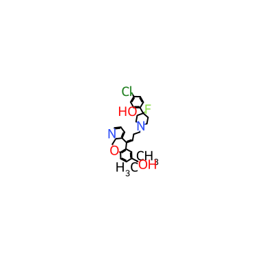 CC(C)(O)c1ccc2c(c1)/C(=C/CCN1CCC(F)(c3ccc(Cl)cc3)C(O)C1)c1cccnc1CO2